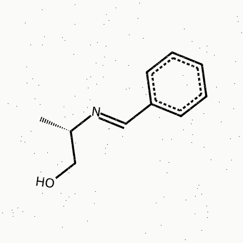 C[C@@H](CO)/N=C/c1ccccc1